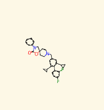 O=C1OC2(CCN(Cc3cc(C4CC4)c(-c4ccc(F)cc4F)c(C4CC4)c3)CC2)CN1c1ccccc1